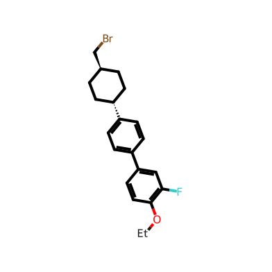 CCOc1ccc(-c2ccc([C@H]3CC[C@H](CBr)CC3)cc2)cc1F